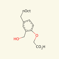 CCCCCCCCCc1ccc(OCC(=O)O)c(CO)c1